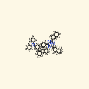 c1ccc(N(c2ccccc2)c2ccc(C3(c4cccc(-c5nc(-c6ccc7ccccc7c6)nc(-c6ccc7ccccc7c6)n5)c4)c4ccccc4-c4ccccc43)cc2)cc1